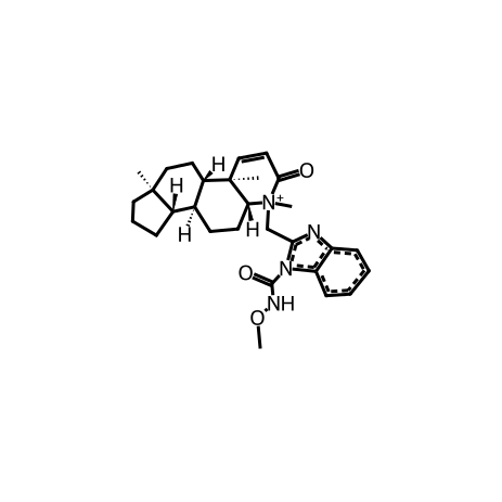 CONC(=O)n1c(C[N+]2(C)C(=O)C=C[C@@]3(C)[C@H]2CC[C@H]2[C@@H]4CCC[C@@]4(C)CC[C@@H]23)nc2ccccc21